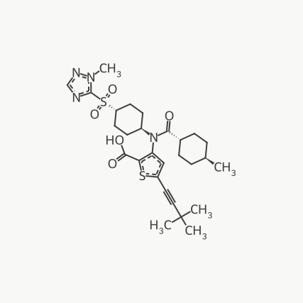 Cn1ncnc1S(=O)(=O)[C@H]1CC[C@H](N(c2cc(C#CC(C)(C)C)sc2C(=O)O)C(=O)[C@H]2CC[C@H](C)CC2)CC1